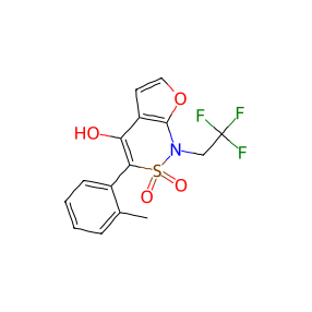 Cc1ccccc1C1=C(O)c2ccoc2N(CC(F)(F)F)S1(=O)=O